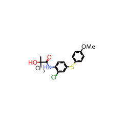 COc1ccc(Sc2ccc(NC(=O)C(C)(O)C(F)(F)F)c(Cl)c2)cc1